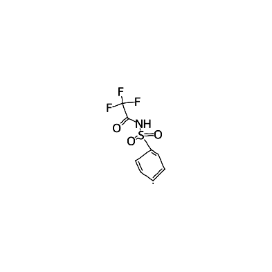 O=C(NS(=O)(=O)c1cc[c]cc1)C(F)(F)F